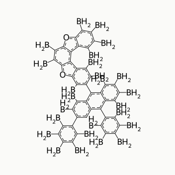 Bc1c(B)c(B)c(-c2cc3c(-c4c(B)c(B)c(B)c(B)c4B)c4c(B)c(B)c(B)c(B)c4c(-c4c(B)c(B)c5c(oc6c(B)c(B)c7oc8c(B)c(B)c(B)c(B)c8c7c65)c4B)c3c(B)c2B)c(B)c1B